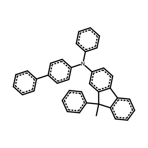 CC1(c2ccccc2)c2ccccc2-c2ccc(N(c3ccccc3)c3ccc(-c4ccccc4)cc3)cc21